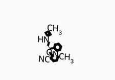 Cc1ccc(C#N)c(O[C@H](CCNC23CC(C)(C2)C3)c2ccccc2)n1